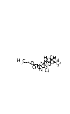 CCCCOC(=O)Cn1cnc2c(Cl)nc(NC(=O)OC(C)(C)C)nc21